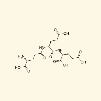 N[C@@H](CCC(=O)N[C@@H](CCC(=O)O)C(=O)N[C@@H](CCC(=O)O)C(=O)O)C(=O)O